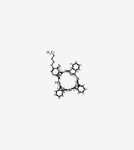 CCCCCC1=CCc2c3[nH]c(c2C1=S)N=C1N=C(N=c2[nH]/c(c4ccccc24)=N\c2[nH]c(c4ccccc24)N3)c2ccccc21